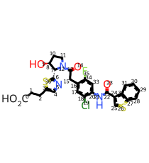 O=C(O)CCc1cnc([C@@H]2[C@@H](O)CCN2C(=O)Cc2cc(Cl)c(NC(=O)c3csc4ccccc34)cc2F)s1